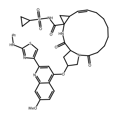 COc1ccc2c(OC3CC4C(=O)NC5(C(=O)NS(=O)(=O)C6CC6)CC5/C=C\CCCCCCC(=O)N4C3)cc(-c3csc(NC(C)C)n3)nc2c1